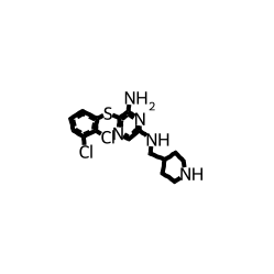 Nc1nc(NCC2CCNCC2)cnc1Sc1cccc(Cl)c1Cl